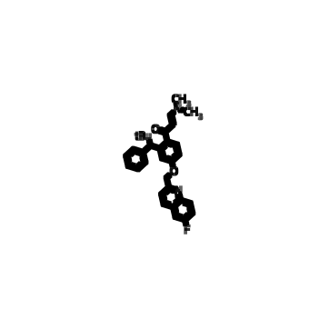 CN(C)C=CC(=O)c1ccc(OCc2ccc3cc(F)ccc3n2)cc1C(c1ccccc1)C(C)(C)C